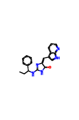 CCC(NC1=NC(=Cc2c[nH]c3ncccc23)C(=O)N1)c1ccccc1